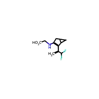 C=C(C1=C(NCC(=O)O)CC2CC12)C(F)F